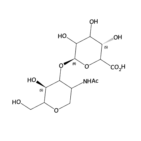 CC(=O)NC1COC(CO)[C@@H](O)C1O[C@@H]1OC(C(=O)O)[C@@H](O)C(O)C1O